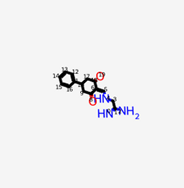 N=C(N)CNC=C1C(=O)CC(c2ccccc2)CC1=O